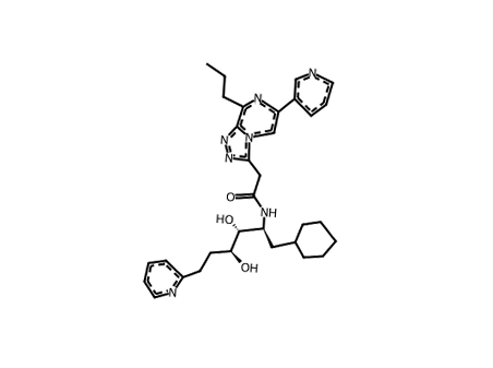 CCCc1nc(-c2cccnc2)cn2c(CC(=O)N[C@@H](CC3CCCCC3)[C@@H](O)[C@@H](O)CCc3ccccn3)nnc12